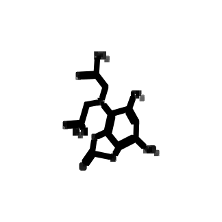 NC(=S)CN(CC(N)=S)c1c(C(F)(F)F)cc([N+](=O)[O-])c2sc(=O)sc12